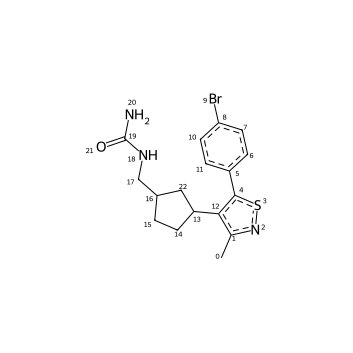 Cc1nsc(-c2ccc(Br)cc2)c1C1CCC(CNC(N)=O)C1